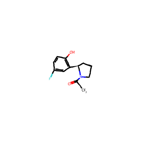 O=C(N1CCC[C@@H]1c1cc(F)ccc1O)C(F)(F)F